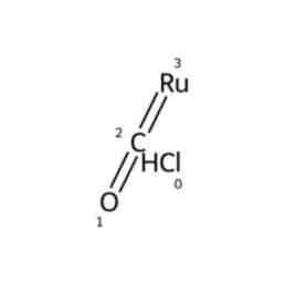 Cl.O=[C]=[Ru]